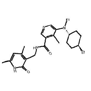 CCN(c1cncc(C(=O)NCc2c(C)cc(C)[nH]c2=O)c1C)[C@H]1CC[C@H](CC)CC1